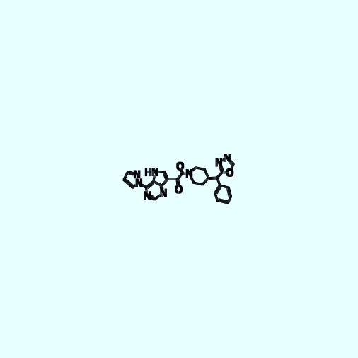 O=C(C(=O)N1CCC(=C(c2ccccc2)c2nnco2)CC1)c1c[nH]c2c(-n3cccn3)ncnc12